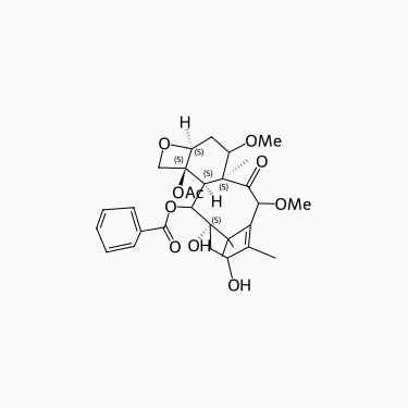 COC1C(=O)[C@]2(C)C(OC)C[C@@H]3OC[C@@]3(OC(C)=O)[C@@H]2C(OC(=O)c2ccccc2)[C@]2(O)CC(O)C(C)=C1C2(C)C